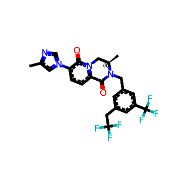 Cc1cn(-c2ccc3n(c2=O)C[C@@H](C)N(Cc2cc(CC(F)(F)F)cc(C(F)(F)F)c2)C3=O)cn1